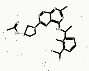 CC(=O)N[C@H]1CCN(c2cc3c(NC(C)c4cccc(C(F)F)c4C)nc(C)nc3cn2)C1